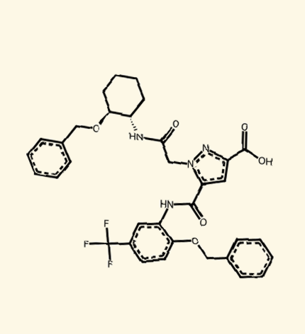 O=C(Cn1nc(C(=O)O)cc1C(=O)Nc1cc(C(F)(F)F)ccc1OCc1ccccc1)N[C@H]1CCCC[C@@H]1OCc1ccccc1